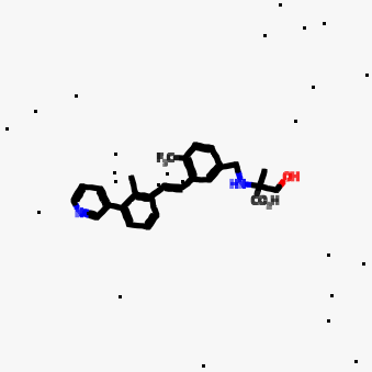 Cc1c(C=Cc2cc(CNC(C)(CO)C(=O)O)ccc2C(F)(F)F)cccc1-c1cccnc1